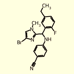 CCc1ccc(F)c(C(Nc2ccc(C#N)cc2)c2nc(Br)cn2C)c1